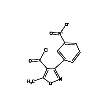 Cc1onc(-c2cccc([N+](=O)[O-])c2)c1C(=O)Cl